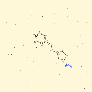 N[C@H]1CC[C@H](OCc2ccccc2)C1